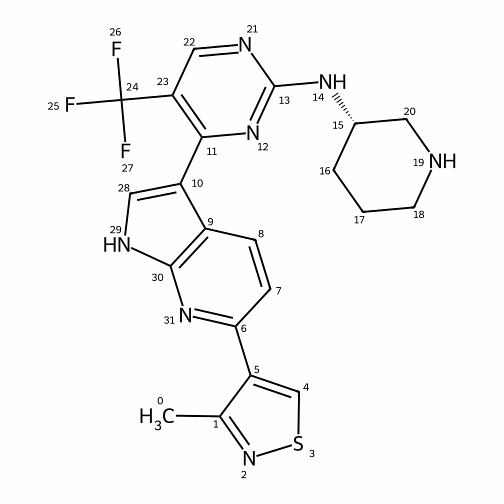 Cc1nscc1-c1ccc2c(-c3nc(N[C@H]4CCCNC4)ncc3C(F)(F)F)c[nH]c2n1